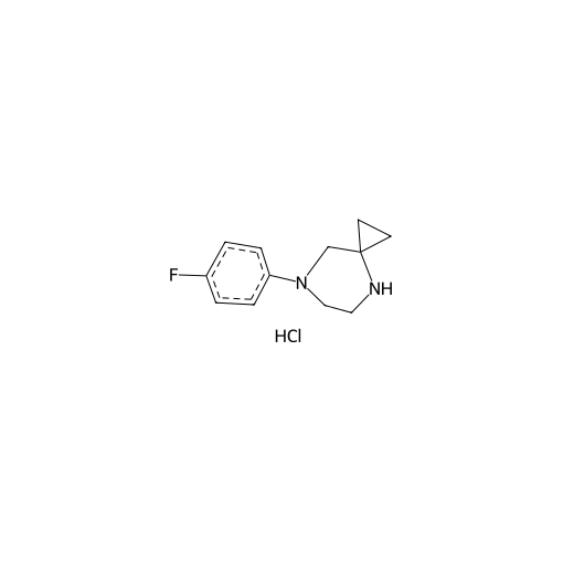 Cl.Fc1ccc(N2CCNC3(CC3)C2)cc1